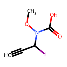 C#CC(I)N(OC)C(=O)O